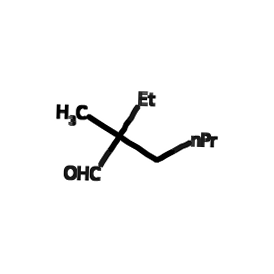 CCCCC(C)(C=O)CC